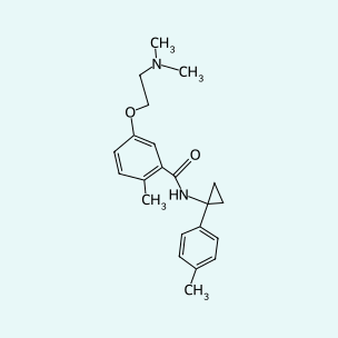 Cc1ccc(C2(NC(=O)c3cc(OCCN(C)C)ccc3C)CC2)cc1